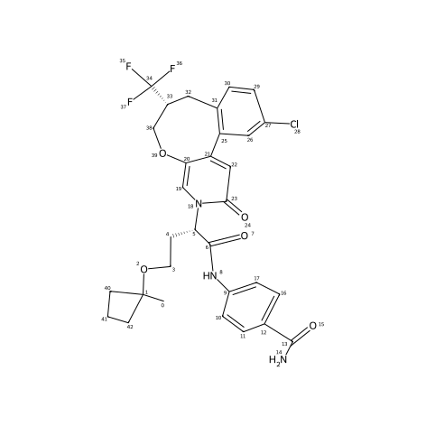 CC1(OCC[C@@H](C(=O)Nc2ccc(C(N)=O)cc2)n2cc3c(cc2=O)-c2cc(Cl)ccc2C[C@@H](C(F)(F)F)CO3)CCC1